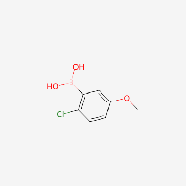 COc1ccc(Cl)c(B(O)O)c1